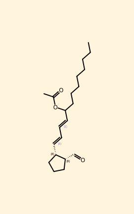 CCCCCCCCC(/C=C/C=C/[C@H]1CCC[C@H]1C=O)OC(C)=O